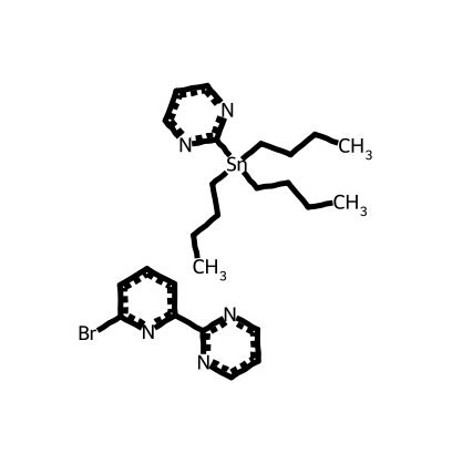 Brc1cccc(-c2ncccn2)n1.CCC[CH2][Sn]([CH2]CCC)([CH2]CCC)[c]1ncccn1